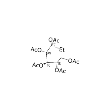 CC[C@@H](OC(C)=O)[C@@H](OC(C)=O)[C@H](OC(C)=O)[C@H](COC(C)=O)OC(C)=O